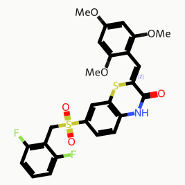 COc1cc(OC)c(/C=C2\Sc3cc(S(=O)(=O)Cc4c(F)cccc4F)ccc3NC2=O)c(OC)c1